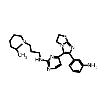 CC1CCCCN1CCCNc1nccc(-c2c(-c3cccc(N)c3)nc3n2CCS3)n1